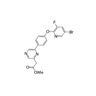 COC(=O)Cc1cncc(-c2ccc(Oc3ncc(Br)cc3F)cc2)n1